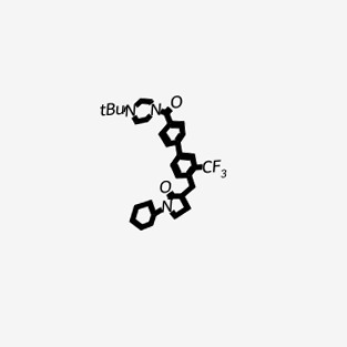 CC(C)(C)N1CCN(C(=O)c2ccc(-c3ccc(CC4CCN(C5CCCCC5)C4=O)c(C(F)(F)F)c3)cc2)CC1